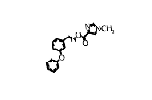 Cn1cnc(C(=O)ON=Cc2cccc(Oc3ccccc3)c2)c1